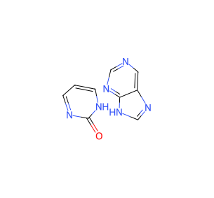 O=c1nccc[nH]1.c1ncc2nc[nH]c2n1